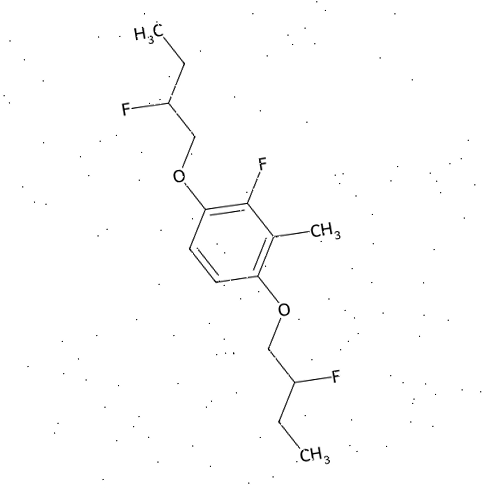 CCC(F)COc1ccc(OCC(F)CC)c(F)c1C